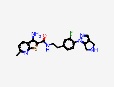 Cc1ccc2c(N)c(C(=O)NCCc3ccc(-n4ncc5c4CNC5)c(F)c3)sc2n1